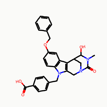 CN1C(=O)N2Cc3c(c4cc(OCc5ccccc5)ccc4n3Cc3ccc(C(=O)O)cc3)C(C2)C1O